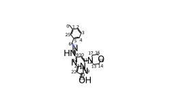 Cc1cccc(/C=N/Nc2cc(N3CCOCC3)n3nc(O)cc3n2)c1